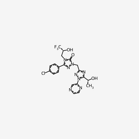 C[C@H](O)c1nc(Cn2nc(-c3ccc(Cl)cc3)n(C[C@H](O)C(F)(F)F)c2=O)nn1-c1cnccn1